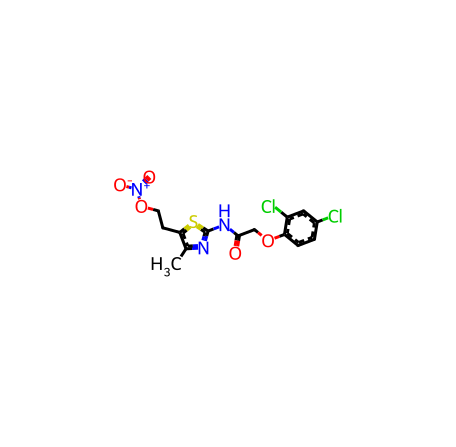 Cc1nc(NC(=O)COc2ccc(Cl)cc2Cl)sc1CCO[N+](=O)[O-]